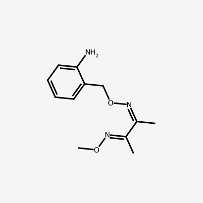 CON=C(C)C(C)=NOCc1ccccc1N